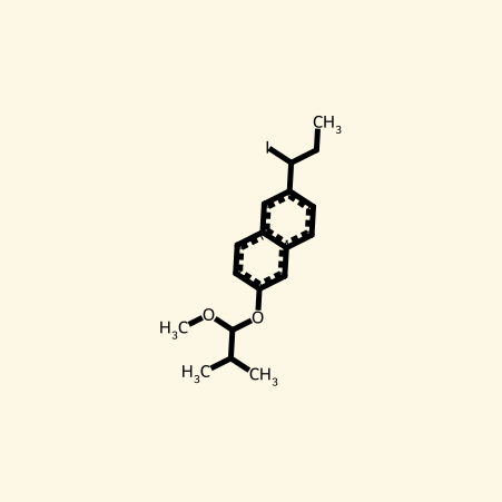 CCC(I)c1ccc2cc(OC(OC)C(C)C)ccc2c1